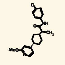 COc1cc([C@H]2CC[C@H](C(C)C(=O)Nc3ccc(Cl)cc3)CC2)ccn1